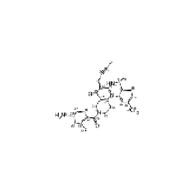 CC#CCn1c(N[C@@H](C)c2ccc(C(F)(F)F)cc2)nc2c(c1=O)CN(C(=O)c1ccc(N)cc1F)CC2